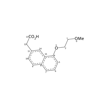 COCCOc1cccc2ccc(CC(=O)O)cc12